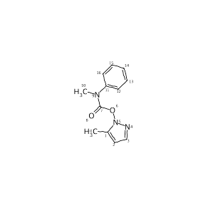 Cc1ccnn1OC(=O)N(C)c1ccccc1